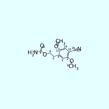 COc1cc(CCOC(N)=O)c(OC)cc1C#N